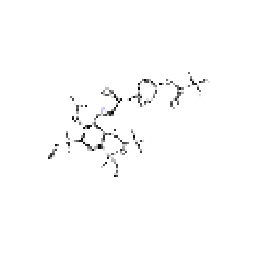 C=CC(C)(C)c1cc(C(C)(C)C=C)c(OC(C)C)c(/C=C/C(=O)c2ccc(OC(=O)C(C)(C)C)cc2)c1OC(=O)C(C)(C)C